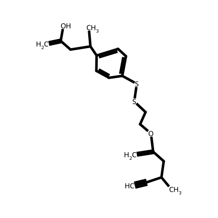 C#CC(C)CC(=C)OCCSSc1ccc(C(C)CC(=C)O)cc1